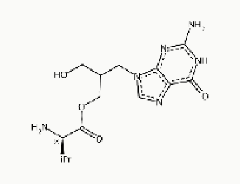 CC(C)[C@@H](N)C(=O)OCC(CO)Cn1cnc2c(=O)[nH]c(N)nc21